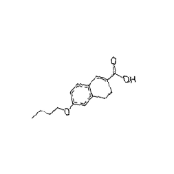 CCCCOc1ccc2c(c1)CCC(C(=O)O)=C2